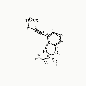 CCCCCCCCCCCC#Cc1cccc(OP(=O)(CC)OCC)c1